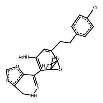 CC(=O)NC1=C(C2=NNCc3ncoc32)C2(C)OC2(C)C(CCc2ccc(Cl)cc2)=C1